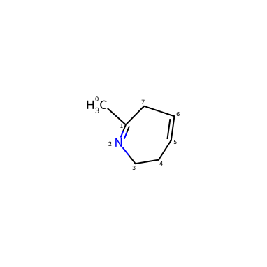 CC1=NCCC=CC1